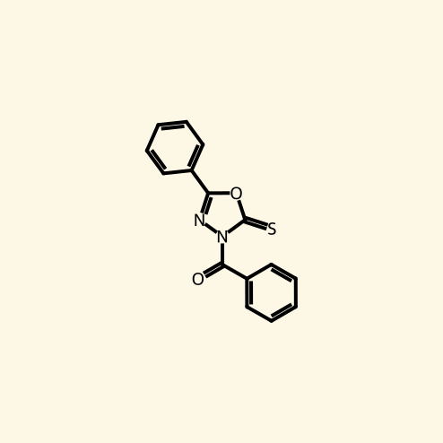 O=C(c1ccccc1)n1nc(-c2ccccc2)oc1=S